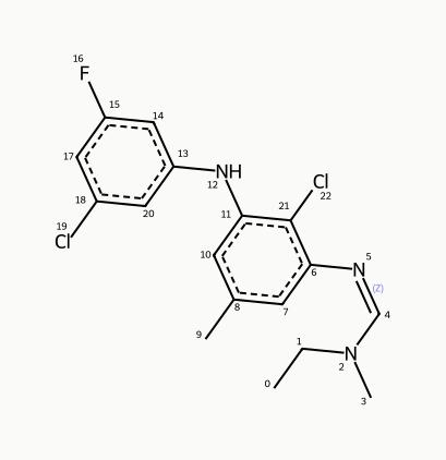 CCN(C)/C=N\c1cc(C)cc(Nc2cc(F)cc(Cl)c2)c1Cl